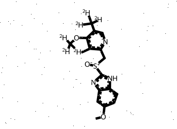 [2H]C([2H])([2H])Oc1c(C([2H])([2H])[2H])cnc(C[S+]([O-])c2nc3cc(OC)ccc3[nH]2)c1C